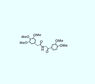 COc1ccc(C(=O)CNC(=O)Cc2cc(OC)c(OC)c(OC)c2)cc1OC